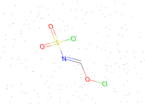 O=S(=O)(Cl)N=COCl